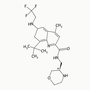 Cc1cc(C(=O)NC[C@@H]2COCCN2)nc2c1=CC(NCC(F)(F)F)CC=2C(C)(C)C